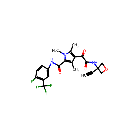 C#CC1(NC(=O)C(=O)c2c(C)c(C(=O)Nc3ccc(F)c(C(F)(F)F)c3)n(C)c2C)COC1